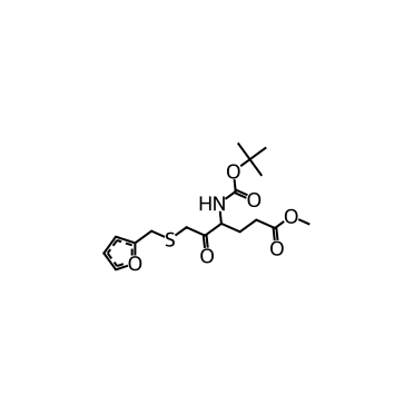 COC(=O)CCC(NC(=O)OC(C)(C)C)C(=O)CSCc1ccco1